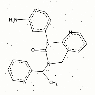 CC(c1ccccn1)N1Cc2cccnc2N(c2cccc(N)c2)C1=O